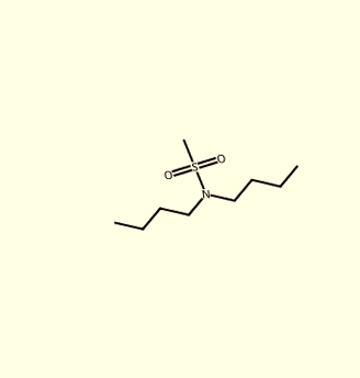 CCCCN(CCCC)S(C)(=O)=O